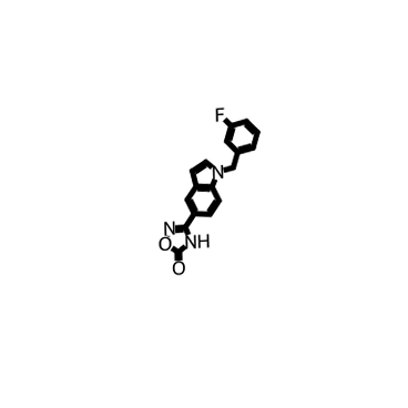 O=c1[nH]c(-c2ccc3c(ccn3Cc3cccc(F)c3)c2)no1